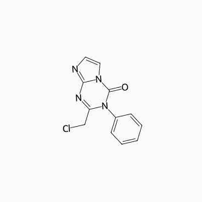 O=c1n(-c2ccccc2)c(CCl)nc2nccn12